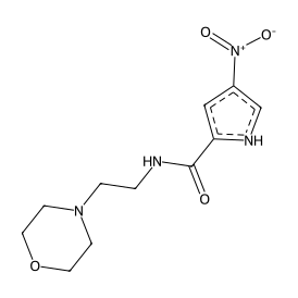 O=C(NCCN1CCOCC1)c1cc([N+](=O)[O-])c[nH]1